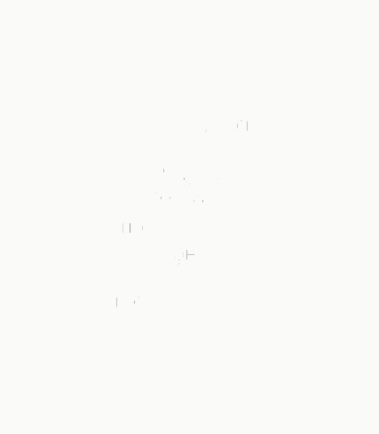 CCC[C@@H](O)[C@H](O)COS(=O)(=O)c1ccc(C)cc1